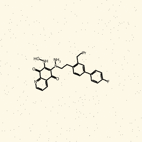 CC(C)Cc1cc(-c2ccc(F)cc2)ccc1CCN(N)C1=C(NO)C(=O)c2ncccc2C1=O